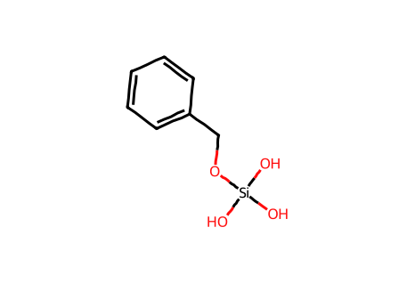 O[Si](O)(O)OCc1ccccc1